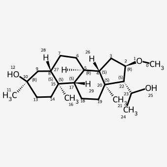 CO[C@@H]1C[C@H]2[C@@H]3CC[C@H]4C[C@](C)(O)CC[C@]4(C)[C@H]3CC[C@]2(C)[C@H]1C(C)O